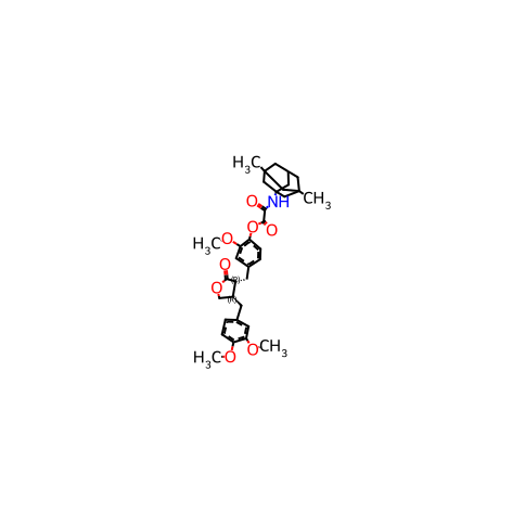 COc1ccc(C[C@H]2COC(=O)[C@@H]2Cc2ccc(OC(=O)C(=O)NC34CC5CC(C)(CC(C)(C5)C3)C4)c(OC)c2)cc1OC